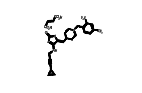 O=C(O)C=CC(=O)O.O=C1N=C(NCC#CC2CC2)C(=CC2CCN(Cc3ccc(C(F)(F)F)cc3C(F)(F)F)CC2)S1